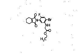 CCOC(=O)CNc1cc(N2C(=O)C3=C(CCCC3)C2=O)c(F)cc1Br